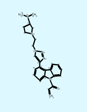 C=CC(=O)n1c2ccccc2c2c(-c3cn(CCN4CCC(N(C)C)C4)nn3)cccc21